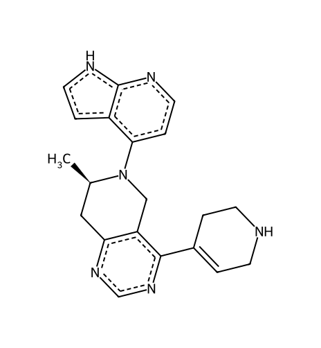 C[C@@H]1Cc2ncnc(C3=CCNCC3)c2CN1c1ccnc2[nH]ccc12